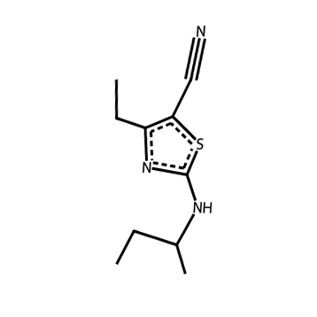 CCc1nc(NC(C)CC)sc1C#N